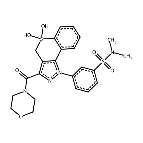 CN(C)S(=O)(=O)c1cccc(-n2nc(C(=O)N3CCOCC3)c3c2-c2ccccc2S(O)(O)C3)c1